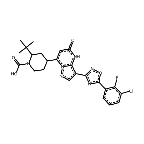 CC(C)(C)C1CC(c2cc(=O)[nH]c3c(-c4noc(-c5cccc(Cl)c5F)n4)cnn23)CCN1C(=O)O